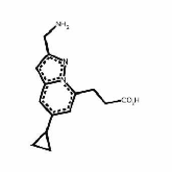 NCc1cc2cc(C3CC3)cc(CCC(=O)O)n2n1